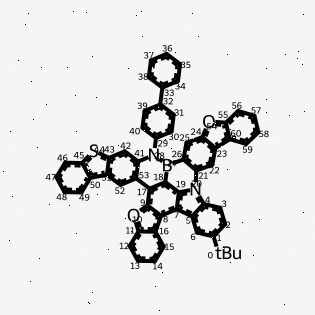 CC(C)(C)c1ccc2c(c1)c1c3c(oc4ccccc43)c3c4c1n2-c1cc2c(cc1B4N(c1ccc(-c4ccccc4)cc1)c1cc4sc5ccccc5c4cc1-3)oc1ccccc12